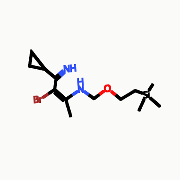 C/C(NCOCC[Si](C)(C)C)=C(\Br)C(=N)C1CC1